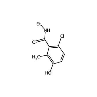 CCNC(=O)c1c(Cl)ccc(O)c1C